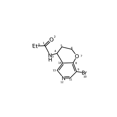 CCC(=O)NC1CCOc2c(Br)cncc21